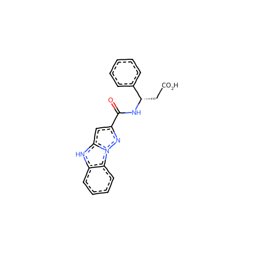 O=C(O)C[C@H](NC(=O)c1cc2[nH]c3ccccc3n2n1)c1ccccc1